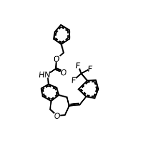 O=C(Nc1ccc2c(c1)C/C(=C\c1cccc(C(F)(F)F)c1)COC2)OCc1ccccc1